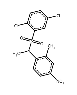 Cc1cc([N+](=O)[O-])ccc1N(C)S(=O)(=O)c1cc(Cl)ccc1Cl